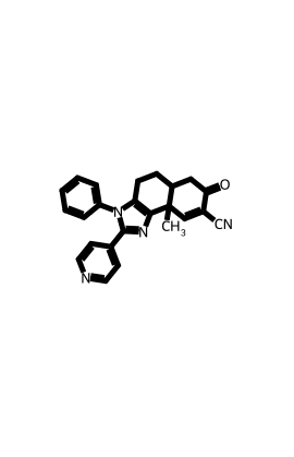 CC12C=C(C#N)C(=O)CC1CCc1c2nc(-c2ccncc2)n1-c1ccccc1